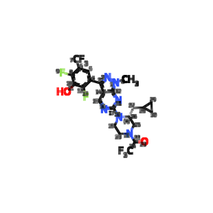 Cn1nc(-c2cc(C(F)(F)F)c(F)c(O)c2F)c2cnc(N3CCN(C(=O)C(F)(F)F)C[C@H]3CC3CC3)nc21